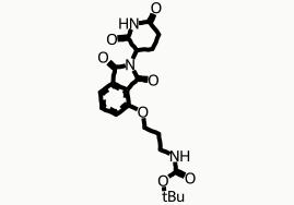 CC(C)(C)OC(=O)NCCCOc1cccc2c1C(=O)N(C1CCC(=O)NC1=O)C2=O